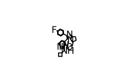 OCC1CCc2nc(-c3ccc(F)cc3)c(-c3ccnc(NC4CCC4)n3)n21